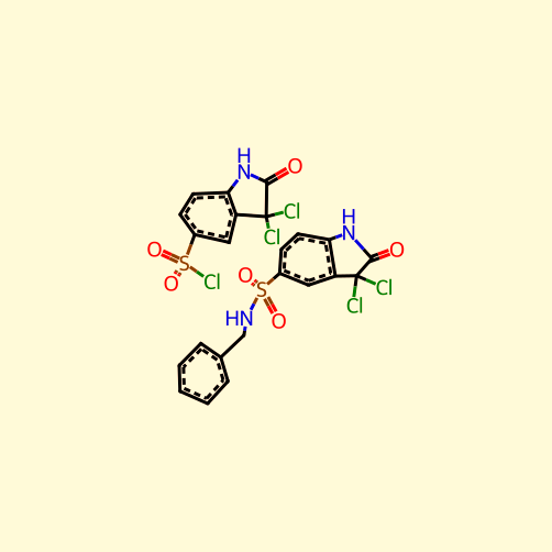 O=C1Nc2ccc(S(=O)(=O)Cl)cc2C1(Cl)Cl.O=C1Nc2ccc(S(=O)(=O)NCc3ccccc3)cc2C1(Cl)Cl